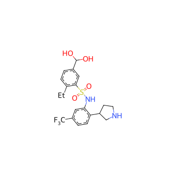 CCc1ccc(C(O)O)cc1S(=O)(=O)Nc1cc(C(F)(F)F)ccc1C1CCNC1